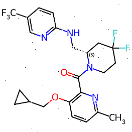 Cc1ccc(OCC2CC2)c(C(=O)N2CCC(F)(F)C[C@H]2CNc2ccc(C(F)(F)F)cn2)n1